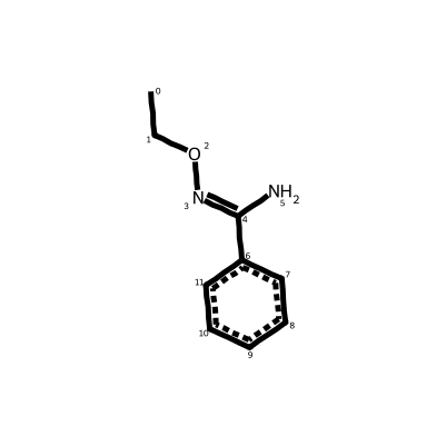 CCON=C(N)c1ccccc1